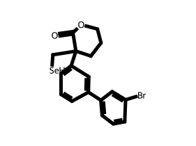 O=C1OCCCC1(C[SeH])c1cccc(-c2cccc(Br)c2)c1